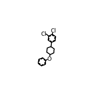 Clc1ccc([C]2CCC(Oc3ccccc3)CC2)cc1Cl